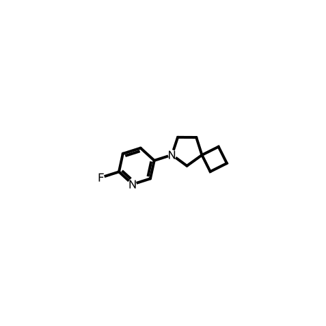 Fc1ccc(N2CCC3(CCC3)C2)cn1